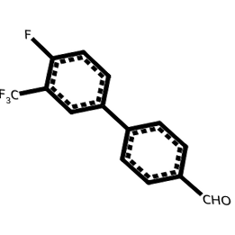 O=Cc1ccc(-c2ccc(F)c(C(F)(F)F)c2)cc1